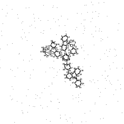 C[Si]1(C)c2ccccc2-c2cc(-c3c(-c4nc(-c5ccccc5)nc(-c5ccc(-c6cccc7c6c6ccccc6n7-c6ccccc6)cc5)n4)ccc4c3-c3ccccc3C43C4CC5CC(C4)CC3C5)ccc21